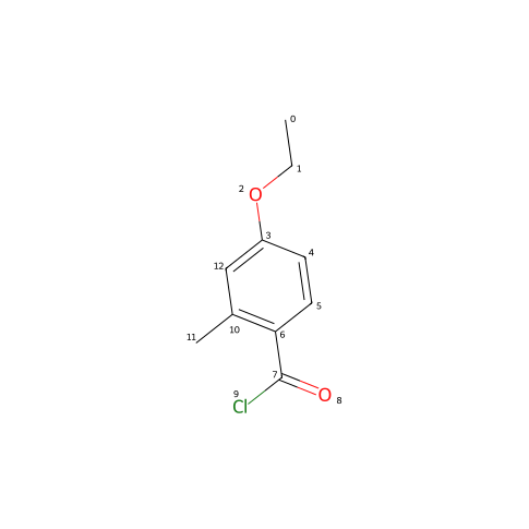 CCOc1ccc(C(=O)Cl)c(C)c1